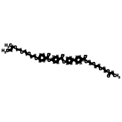 C=CC(=C)OCCOCCOCCOc1ccc(C(=O)Oc2ccc(C(=O)Oc3ccc(-c4ccc(C(=O)OCCOCCOCCOC(=O)C=C)cc4)cc3)cc2)cc1